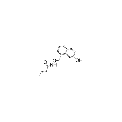 CC=CC(=O)NOCc1cccc2ccc(O)cc12